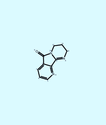 O=C1c2cccnc2C2=NCCCN12